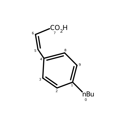 CCCCc1ccc(/C=C\C(=O)O)cc1